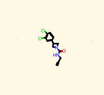 C#CCNC(=O)N1CC(c2ccc(Cl)c(Cl)c2)C1